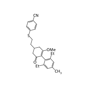 CCc1cc(C)cc(CC)c1C1=C(OC)CC(CCSc2ccc(C#N)cc2)CC1=O